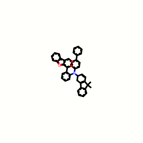 CC1(C)C2=C(CC(N(c3ccc(-c4ccccc4)cc3)c3ccccc3-c3cccc4c3oc3ccccc34)C=C2)c2ccccc21